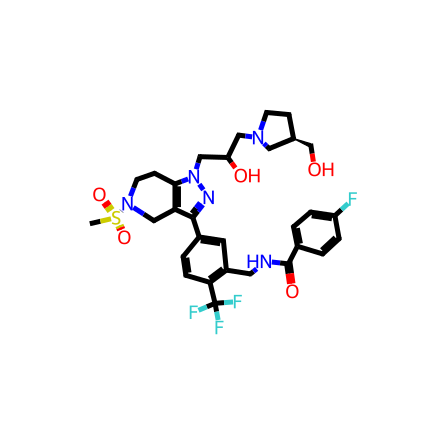 CS(=O)(=O)N1CCc2c(c(-c3ccc(C(F)(F)F)c(CNC(=O)c4ccc(F)cc4)c3)nn2CC(O)CN2CC[C@@H](CO)C2)C1